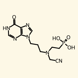 N#CCN(CCCn1cnc2c(=O)[nH]cnc21)CCP(=O)(O)O